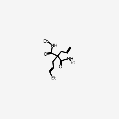 C=CCC(C/C=C/CC)(C(=O)NCC)C(=O)NCC